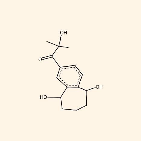 CC(C)(O)C(=O)c1ccc2c(c1)C(O)CCCC2O